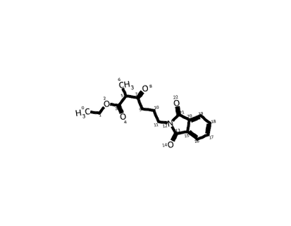 CCOC(=O)C(C)C(=O)CCCN1C(=O)c2ccccc2C1=O